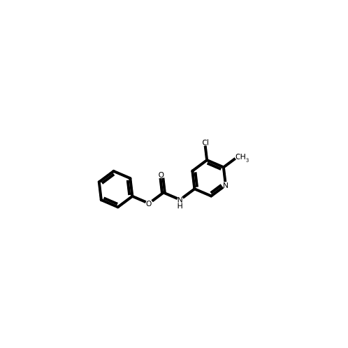 Cc1ncc(NC(=O)Oc2ccccc2)cc1Cl